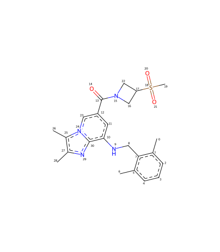 Cc1cccc(C)c1CNc1cc(C(=O)N2CC(S(C)(=O)=O)C2)cn2c(C)c(C)nc12